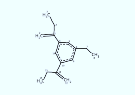 C=C(CC)c1cc(CC)cc(C(=C)CC)c1